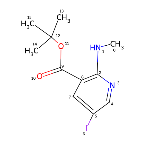 CNc1ncc(I)cc1C(=O)OC(C)(C)C